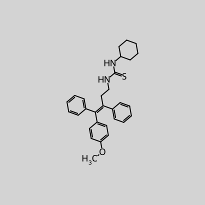 COc1ccc(/C(=C(/CCNC(=S)NC2CCCCC2)c2ccccc2)c2ccccc2)cc1